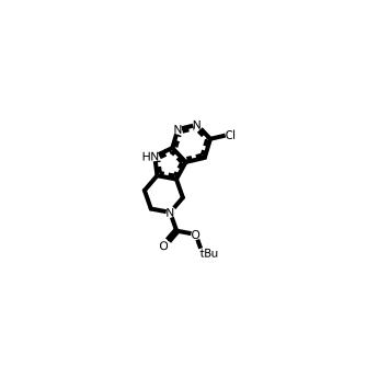 CC(C)(C)OC(=O)N1CCc2[nH]c3nnc(Cl)cc3c2C1